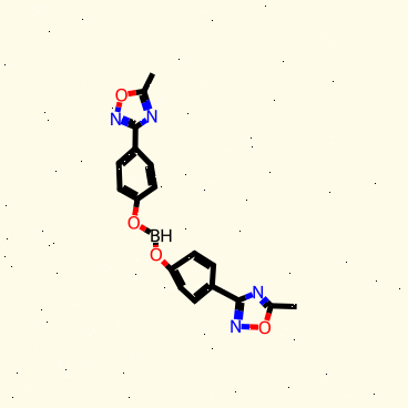 Cc1nc(-c2ccc(OBOc3ccc(-c4noc(C)n4)cc3)cc2)no1